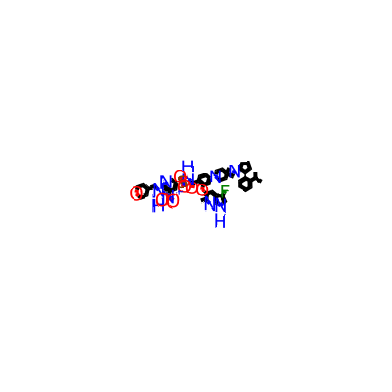 Cc1nc2[nH]cc(F)c2cc1Oc1cc(N2CCC3(CC2)CN([C@H]2CCC[C@H]2c2ccccc2C(C)C)C3)ccc1C(=O)NS(=O)(=O)c1cnc(NCC2CCOCC2)c([N+](=O)[O-])c1